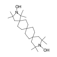 CC1(C)CC2(CCC3(CC2)CCC2(CC3)CC(C)(C)N(O)C2(C)C)CC(C)(C)N1O